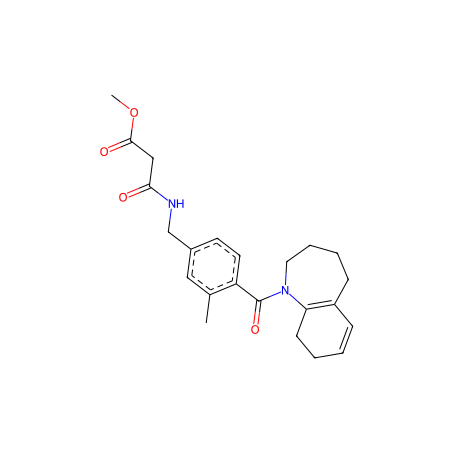 COC(=O)CC(=O)NCc1ccc(C(=O)N2CCCCC3=C2CCC=C3)c(C)c1